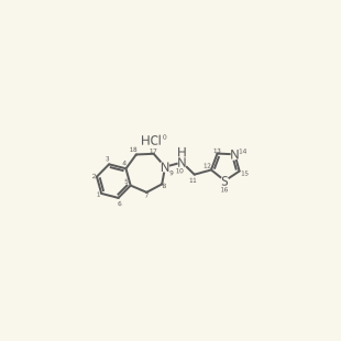 Cl.c1ccc2c(c1)CCN(NCc1cncs1)CC2